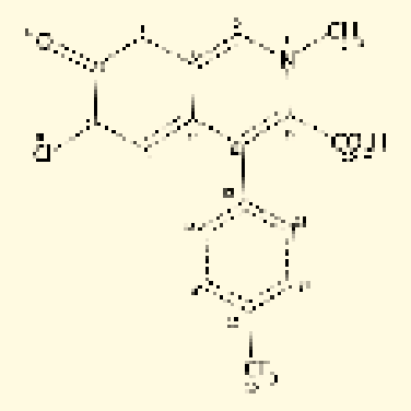 CN1C=C2CC(=O)C(Cl)C=C2C(c2ccc(C(F)(F)F)cc2)=C1C(=O)O